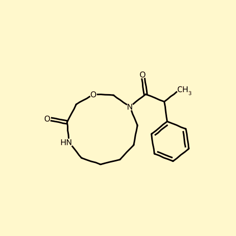 CC(C(=O)N1CCCCCNC(=O)COC1)c1ccccc1